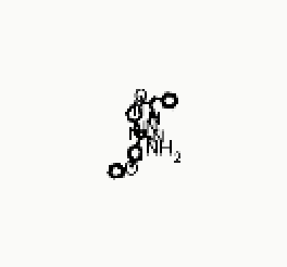 N#CC(=Cc1ccccc1)C(=O)N1CCCC(n2nc(-c3ccc(Oc4ccccc4)cc3)c3c(N)ncnc32)C1